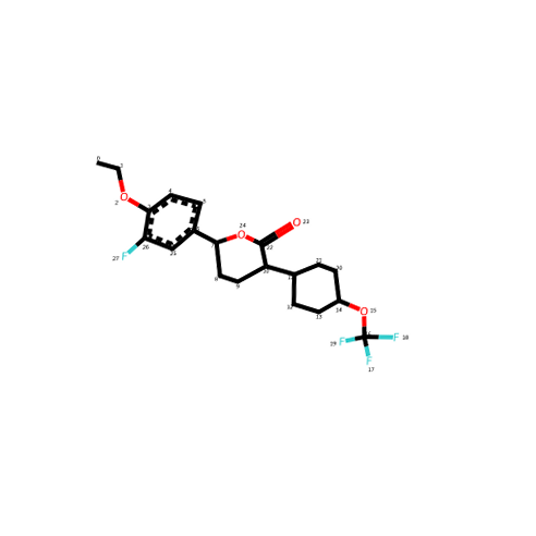 CCOc1ccc(C2CCC(C3CCC(OC(F)(F)F)CC3)C(=O)O2)cc1F